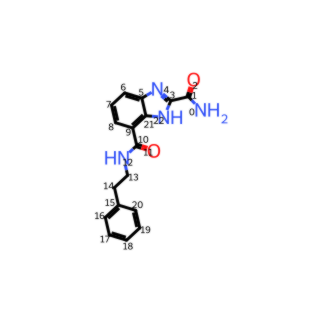 NC(=O)c1nc2cccc(C(=O)NCCc3ccccc3)c2[nH]1